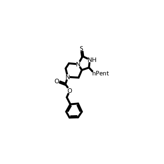 CCCCCC1NC(=S)N2CCN(C(=O)OCc3ccccc3)CC12